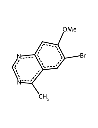 COc1cc2ncnc(C)c2cc1Br